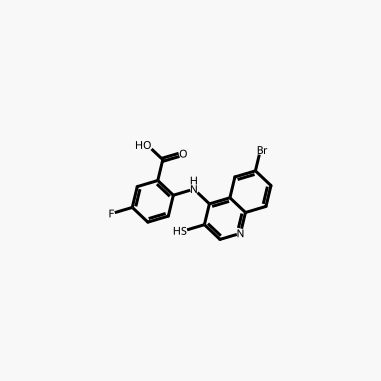 O=C(O)c1cc(F)ccc1Nc1c(S)cnc2ccc(Br)cc12